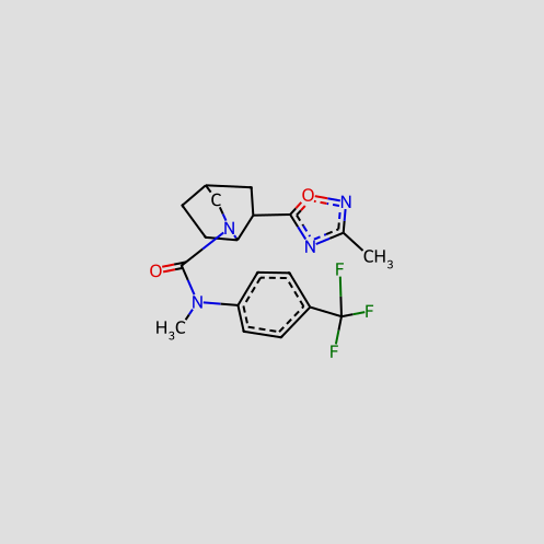 Cc1noc(C2CC3CCC2N(C(=O)N(C)c2ccc(C(F)(F)F)cc2)C3)n1